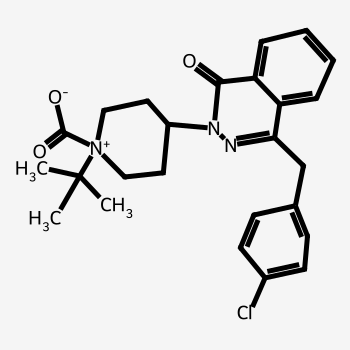 CC(C)(C)[N+]1(C(=O)[O-])CCC(n2nc(Cc3ccc(Cl)cc3)c3ccccc3c2=O)CC1